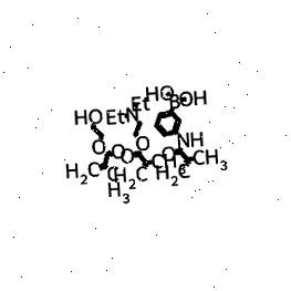 C=C(C)C(=O)Nc1cccc(B(O)O)c1.C=C(C)C(=O)OCCN(CC)CC.C=C(C)C(=O)OCCO